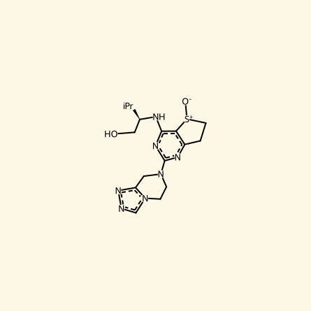 CC(C)[C@H](CO)Nc1nc(N2CCn3cnnc3C2)nc2c1[S+]([O-])CC2